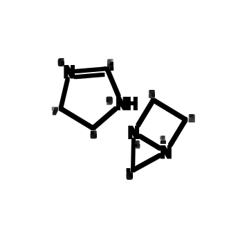 [CH]1N2CCN12.[C]1=NCCN1